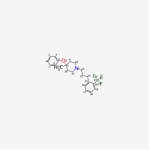 CC1(Oc2ccccc2)CCN(CCCc2ccccc2C(F)(F)F)CC1